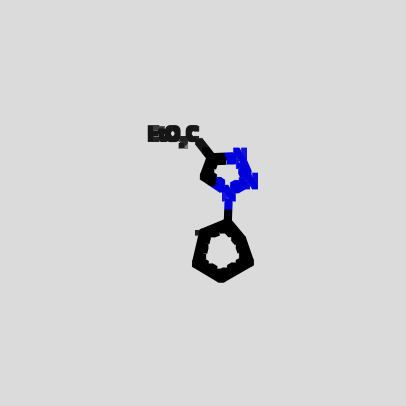 CCOC(=O)c1cn(-c2[c]cccc2)nn1